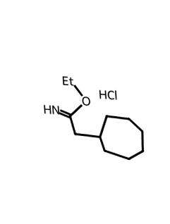 CCOC(=N)CC1CCCCCC1.Cl